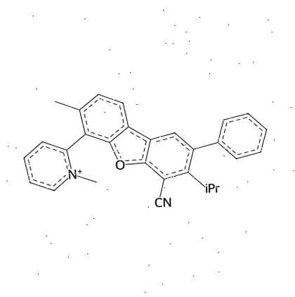 Cc1ccc2c(oc3c(C#N)c(C(C)C)c(-c4ccccc4)cc32)c1-c1cccc[n+]1C